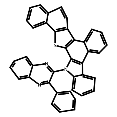 c1ccc(-c2nc3ccccc3nc2-n2c3ccccc3c3c4ccccc4c4c5ccc6ccccc6c5sc4c32)cc1